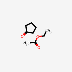 CCOC(C)=O.O=C1CCCC1